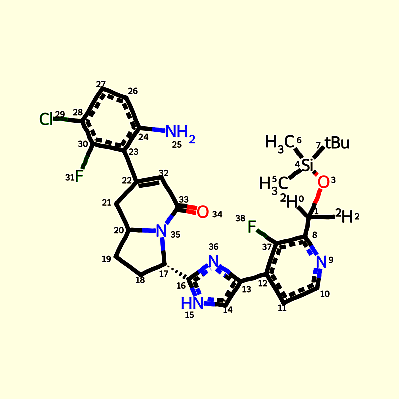 [2H]C([2H])(O[Si](C)(C)C(C)(C)C)c1nccc(-c2c[nH]c([C@@H]3CCC4CC(c5c(N)ccc(Cl)c5F)=CC(=O)N43)n2)c1F